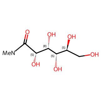 CNC(=O)[C@@H](O)[C@H](O)[C@@H](O)[C@@H](O)CO